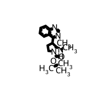 CNC1(C)C(c2ncnc3ccccc23)CCN1C(=O)OC(C)(C)C